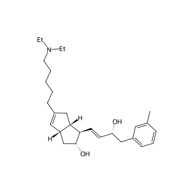 CCN(CC)CCCCCC1=C[C@H]2C[C@@H](O)[C@H](/C=C/[C@H](O)Cc3cccc(C)c3)[C@H]2C1